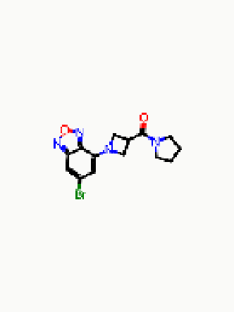 O=C(C1CN(c2cc(Br)cc3nonc23)C1)N1CCCC1